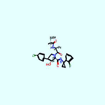 CN[C@@H](C)C(=O)N[C@H](C(=O)N1CC(c2ccc(Cl)cc2)[C@@H](O)[C@H]1C(=O)NC1(c2ccccc2F)CC1)C(C)C